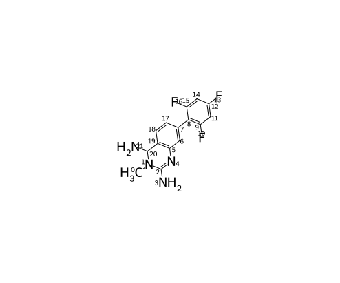 CN1C(N)=Nc2cc(-c3c(F)cc(F)cc3F)ccc2C1N